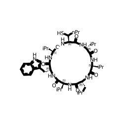 CCCC(S)[C@@H]1NC[C@H](C(C)C)NC(=O)[C@@H](Cc2c[nH]c3ccccc23)NC(=O)[C@H](C(C)C)NC(=O)[C@@H](CC(C)C)NC(=O)[C@H](C(C)C)NC(=O)[C@@H](C(C)C)NC1=O